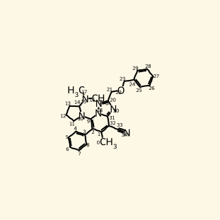 Cc1c(-c2ccccc2)c(N2CCCC2N(C)C)n2nc(COCc3ccccc3)nc2c1C#N